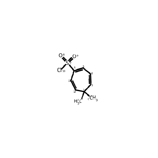 CC1(C)C=CC=C(S(=O)(=O)Cl)C=C1